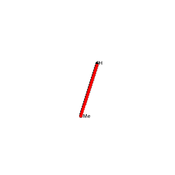 COSSSSSSSSSSSSSSSSSSSSSSSSSSSSSSSSSSSSSSSSSSSS